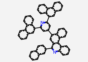 c1ccc2cc(-c3nc4ccccc4c4c3cc(-c3cc(-c5cc6ccccc6c6ccccc56)nc(-c5cc6ccccc6c6ccccc56)c3)c3ccccc34)ccc2c1